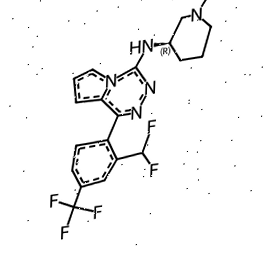 CN1CCC[C@@H](Nc2nnc(-c3ccc(C(F)(F)F)cc3C(F)F)c3cccn23)C1